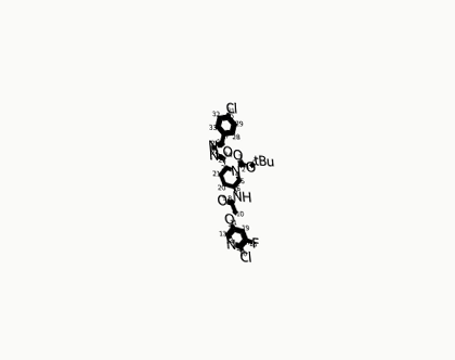 CC(C)(C)OC(=O)N1C[C@@H](NC(=O)COc2cnc(Cl)c(F)c2)CC[C@@H]1c1nnc(-c2ccc(Cl)cc2)o1